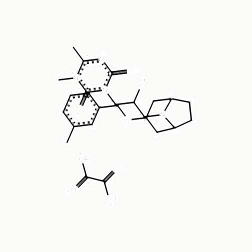 Cc1cccc(COC2CC3CCC(C2)N3CC(F)Cn2c(=O)nc(C)n(C)c2=O)c1.O=C(O)C(=O)O